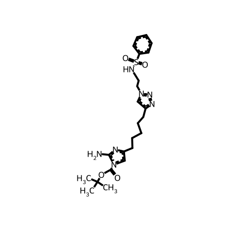 CC(C)(C)OC(=O)n1cc(CCCCCc2cn(CCNS(=O)(=O)c3ccccc3)nn2)nc1N